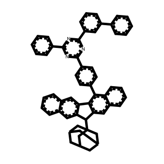 c1ccc(-c2cccc(-c3nc(-c4ccccc4)nc(-c4ccc(-c5c6c(cc7ccccc57)C(C57CC8CC(CC(C8)C5)C7)c5cc7ccccc7cc5-6)cc4)n3)c2)cc1